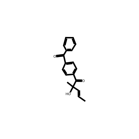 CC=CC(C)(O)C(=O)c1ccc(C(=O)c2ccccc2)cc1